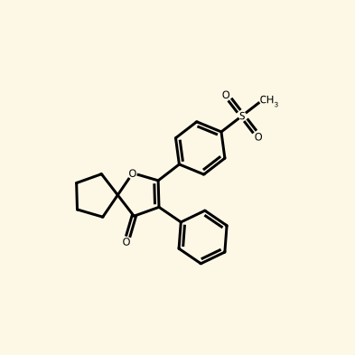 CS(=O)(=O)c1ccc(C2=C(c3ccccc3)C(=O)C3(CCCC3)O2)cc1